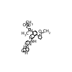 C=CC(=O)N1CCC[C@H]1c1ccc(N2C[C@H](CS(C)(=O)=O)[C@H]2C)c2cnc(Nc3ccnc(N4CC[C@H]5COC[C@H]54)n3)cc12